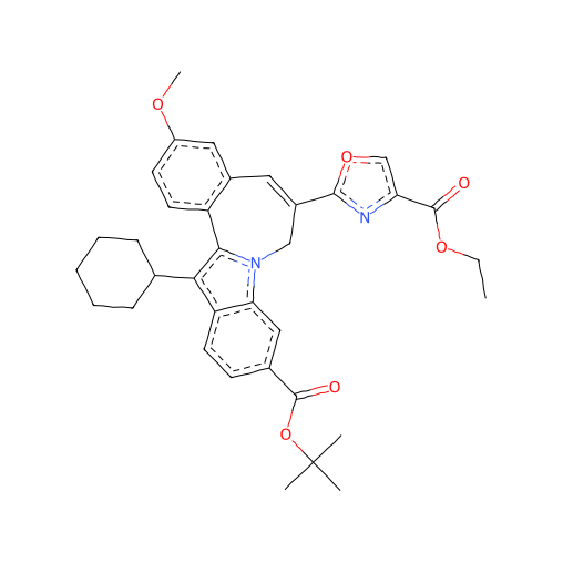 CCOC(=O)c1coc(C2=Cc3cc(OC)ccc3-c3c(C4CCCCC4)c4ccc(C(=O)OC(C)(C)C)cc4n3C2)n1